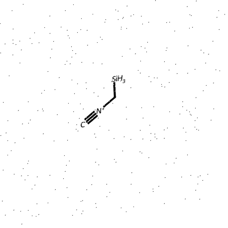 [C-]#[N+]C[SiH3]